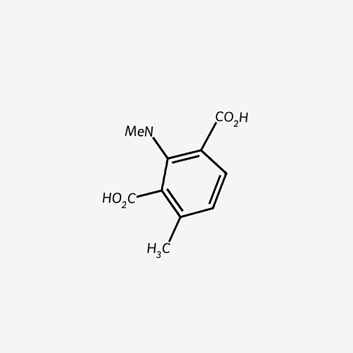 CNc1c(C(=O)O)ccc(C)c1C(=O)O